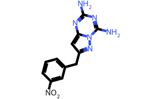 Nc1nc(N)n2nc(Cc3cccc([N+](=O)[O-])c3)cc2n1